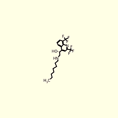 CCCCCCCCNC[C@H](O)c1cc(C(F)(F)F)nc2c(C(F)(F)F)cccc12